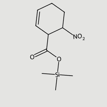 C[Si](C)(C)OC(=O)C1C=CCCC1[N+](=O)[O-]